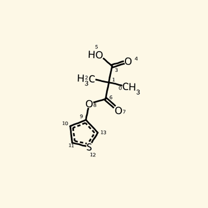 CC(C)(C(=O)O)C(=O)Oc1ccsc1